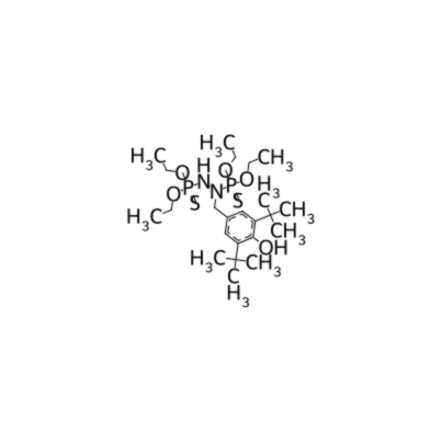 CCOP(=S)(NN(Cc1cc(C(C)(C)C)c(O)c(C(C)(C)C)c1)P(=S)(OCC)OCC)OCC